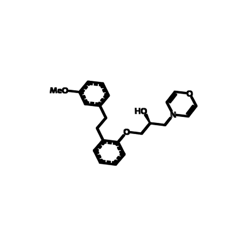 COc1cccc(CCc2ccccc2OC[C@@H](O)CN2C=COC=C2)c1